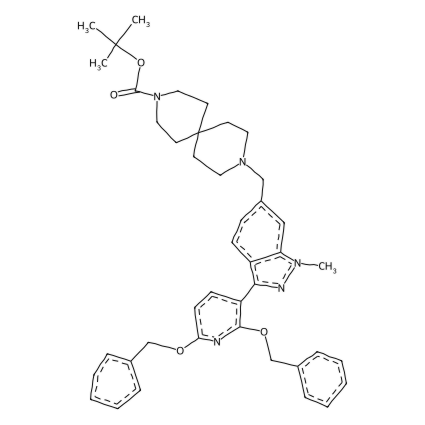 Cn1nc(-c2ccc(OCc3ccccc3)nc2OCc2ccccc2)c2ccc(CN3CCC4(CC3)CCN(C(=O)OC(C)(C)C)CC4)cc21